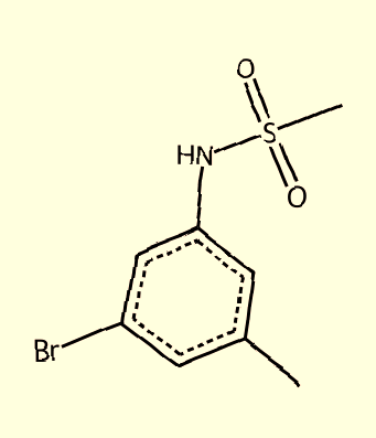 Cc1cc(Br)cc(NS(C)(=O)=O)c1